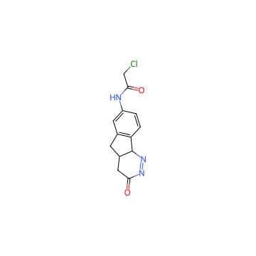 O=C1CC2Cc3cc(NC(=O)CCl)ccc3C2N=N1